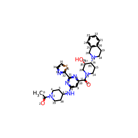 CC(=O)N1CCC(Nc2cc(C(=O)N3CC[C@@H](N4CCc5ccccc5C4)[C@H](O)C3)nc(-c3nccs3)n2)CC1